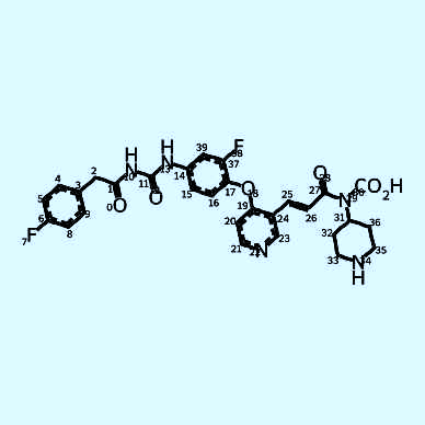 O=C(Cc1ccc(F)cc1)NC(=O)Nc1ccc(Oc2ccncc2C=CC(=O)N(C(=O)O)C2CCNCC2)c(F)c1